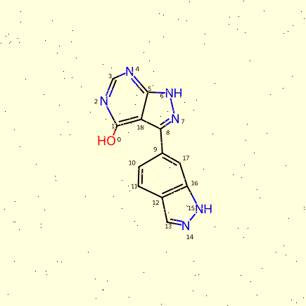 Oc1ncnc2[nH]nc(-c3ccc4cn[nH]c4c3)c12